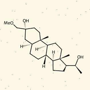 COC[C@@]1(O)CC[C@@]2(C)[C@@H](CC[C@@H]3[C@@H]2CC[C@]2(C)[C@@H]([C@H](C)O)CC[C@@H]32)C1